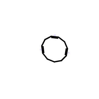 [CH]1C/C=C\C/C=C\C/C=C\C1